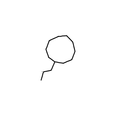 C[CH]CC1CCCCCCCCC1